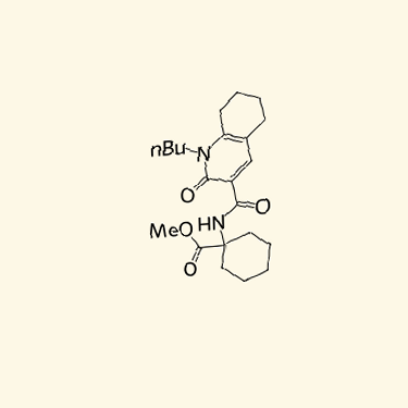 CCCCn1c2c(cc(C(=O)NC3(C(=O)OC)CCCCC3)c1=O)CCCC2